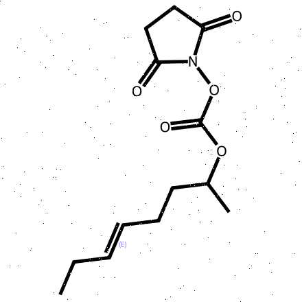 CC/C=C/CCC(C)OC(=O)ON1C(=O)CCC1=O